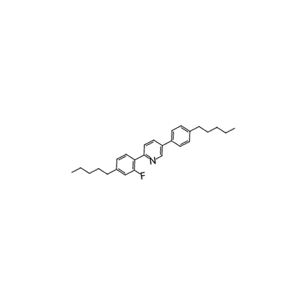 CCCCCc1ccc(-c2ccc(-c3ccc(CCCCC)cc3F)nc2)cc1